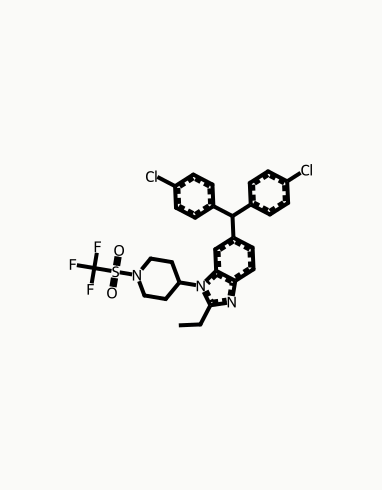 CCc1nc2ccc(C(c3ccc(Cl)cc3)c3ccc(Cl)cc3)cc2n1C1CCN(S(=O)(=O)C(F)(F)F)CC1